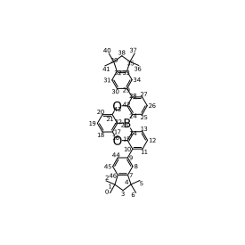 CC1(C)CC(C)(C)c2cc(-c3cccc4c3Oc3cccc5c3B4c3cccc(-c4ccc6c(c4)C(C)(C)CC6(C)C)c3O5)ccc21